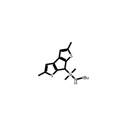 Cc1cc2c(s1)C([Si](C)(C)NC(C)(C)C)c1sc(C)cc1-2